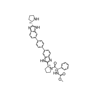 COC(=O)N[C@@H](C(=O)N1CCC[C@H]1c1nc2ccc(-c3ccc(-c4ccc5nc([C@@H]6CCCN6)[nH]c5c4)cc3)cc2[nH]1)c1ccccc1